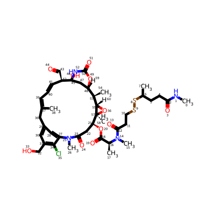 CNC(=O)CCC(C)SSCCC(=O)N(C)[C@@H](C)C(=O)O[C@H]1CC(=O)N(C)c2cc(cc(CO)c2Cl)C/C(C)=C/C=C/[C@@H](C=O)[C@@]2(O)C[C@H](OC(=O)N2)[C@@H](C)[C@@H]2O[C@@]12C